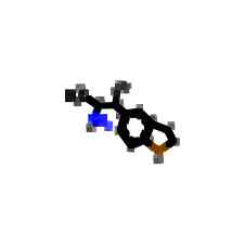 CC(C)C(c1ccc2c(c1)CCS2)C(C)N